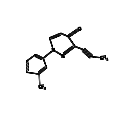 CC#Cc1nn(-c2cccc(C(F)(F)F)c2)ccc1=O